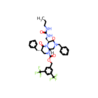 CCCNC(=O)NC[C@H]1C(=O)N(Cc2ccccc2)C[C@@H]2N(C(=O)OCc3cc(C(F)(F)F)cc(C(F)(F)F)c3)C[C@H](Cc3ccccc3)C(=O)N21